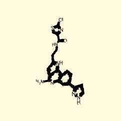 Nc1nc2cc(-c3cc[nH]n3)ccc2c2[nH]c(CCNC(=O)c3csc(Cl)n3)cc12